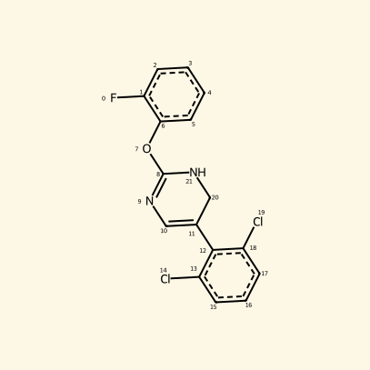 Fc1ccccc1OC1=NC=C(c2c(Cl)cccc2Cl)CN1